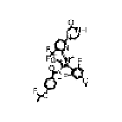 COc1cc(F)c(-c2c(NC(=O)c3ccc(OC(C)F)cc3)c(=O)n(-c3nc(N4CCNC(=O)C4)ccc3C(F)(F)F)n2C)c(F)c1